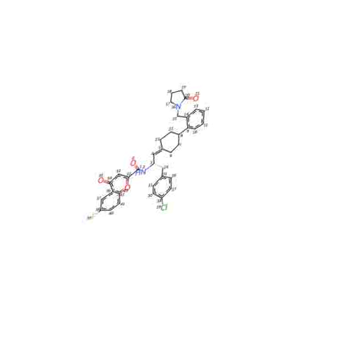 O=C(N[C@H](C=C1CCC(c2ccccc2CN2CCCC2=O)CC1)Cc1ccc(Cl)cc1)c1cc(=O)c2cc(F)ccc2o1